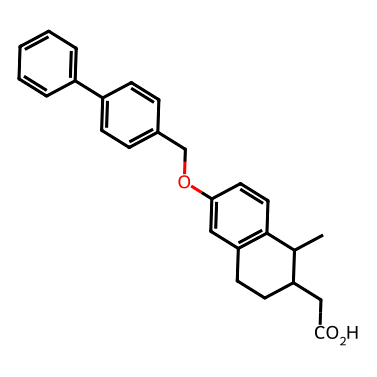 CC1c2ccc(OCc3ccc(-c4ccccc4)cc3)cc2CCC1CC(=O)O